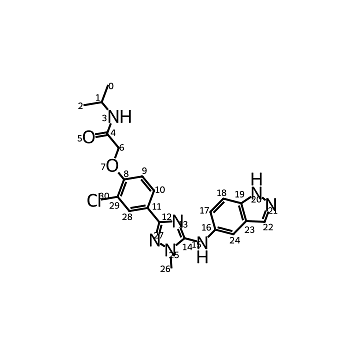 CC(C)NC(=O)COc1ccc(-c2nc(Nc3ccc4[nH]ncc4c3)n(C)n2)cc1Cl